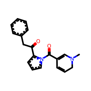 CN1C=C(C(=O)n2cccc2C(=O)Cc2ccccc2)C=CC1